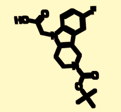 CC(C)(C)OC(=O)N1CCc2c(c3cc(F)ccc3n2CC(=O)O)C1